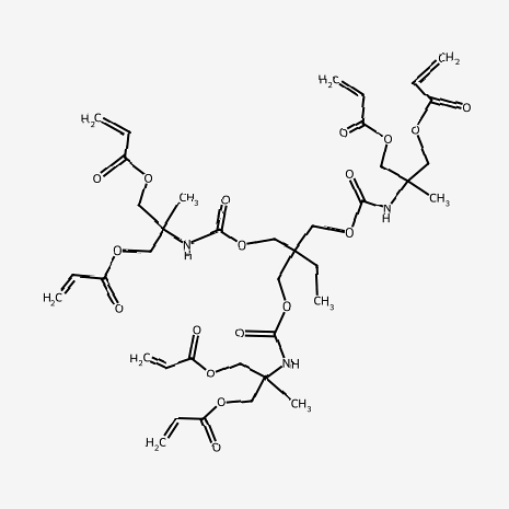 C=CC(=O)OCC(C)(COC(=O)C=C)NC(=O)OCC(CC)(COC(=O)NC(C)(COC(=O)C=C)COC(=O)C=C)COC(=O)NC(C)(COC(=O)C=C)COC(=O)C=C